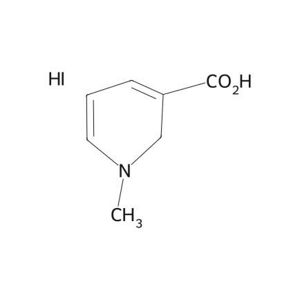 CN1C=CC=C(C(=O)O)C1.I